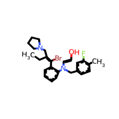 CC/C(CN1CCCC1)=C(/Br)c1ccccc1N(/C=C/O)Cc1ccc(C)c(F)c1